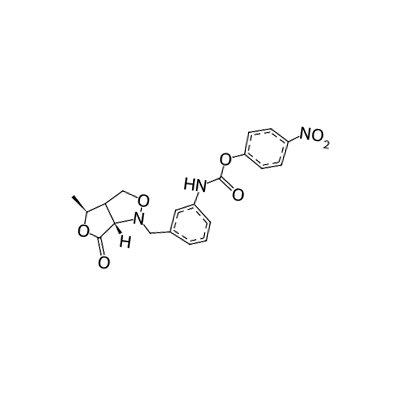 C[C@@H]1OC(=O)[C@@H]2C1CON2Cc1cccc(NC(=O)Oc2ccc([N+](=O)[O-])cc2)c1